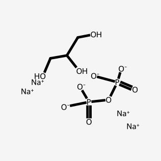 O=P([O-])([O-])OP(=O)([O-])[O-].OCC(O)CO.[Na+].[Na+].[Na+].[Na+]